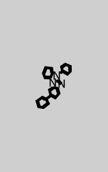 c1ccc(-c2ccc3nc4n(-c5ccccc5)c5ccccc5n4c3c2)cc1